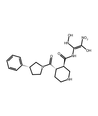 O=C(N/C(NO)=C(\O)[N+](=O)[O-])[C@H]1CNCC[C@@H]1C(=O)N1CC[C@H](c2ccccc2)C1